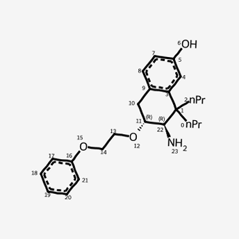 CCCC1(CCC)c2cc(O)ccc2C[C@@H](OCCOc2ccccc2)[C@@H]1N